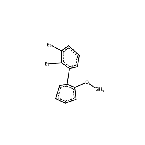 CCc1cccc(-c2ccccc2O[SiH3])c1CC